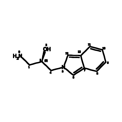 NC[C@@H](O)Cn1cc2ccccc2c1